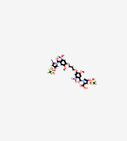 COc1cc(C(=O)N2C=C(OS(=O)(=O)C(F)(F)F)CC2C(=O)O)c([N+](=O)[O-])cc1OCCCOc1cc([N+](=O)[O-])c(C(=O)N2C=C(OS(=O)(=O)C(F)(F)F)C[C@H]2C)cc1OC